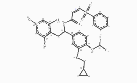 O=C(/C=C\S(=O)(=O)c1ccccc1)OC(Cc1c(Cl)c[n+]([O-])cc1Cl)c1ccc(OC(F)F)c(OCC2CC2)c1